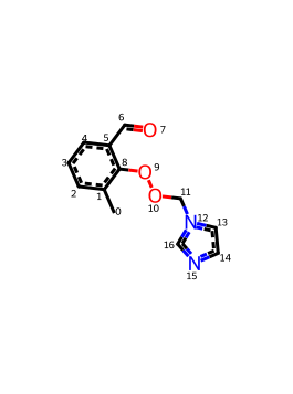 Cc1cccc(C=O)c1OOCn1ccnc1